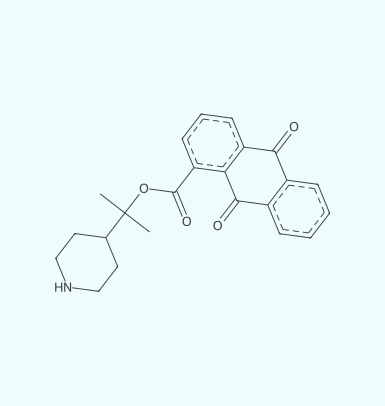 CC(C)(OC(=O)c1cccc2c1C(=O)c1ccccc1C2=O)C1CCNCC1